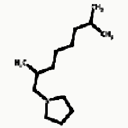 CC(C)CCCCC(C)CN1CCCC1